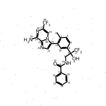 Cc1ccc(C(O)(CNC(=O)c2ccccc2)C(F)(F)F)cc1-c1cnc2c(N)nc(C(F)(F)F)cn12